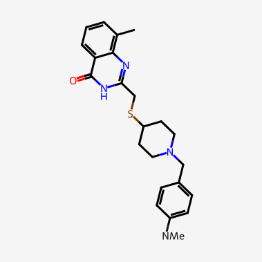 CNc1ccc(CN2CCC(SCc3nc4c(C)cccc4c(=O)[nH]3)CC2)cc1